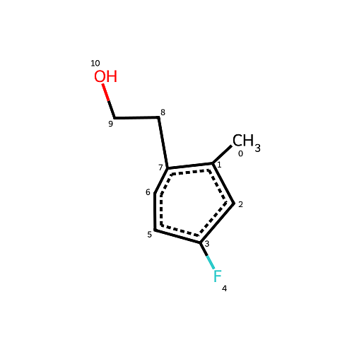 Cc1cc(F)ccc1CCO